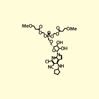 COCCC(=O)OCOP(=O)(COC[C@H]1O[C@@H](n2ccc3c(NC4CCCC4)c(C#N)c(Cl)nc32)[C@H](O)[C@@H]1O)OCOC(=O)CCOC